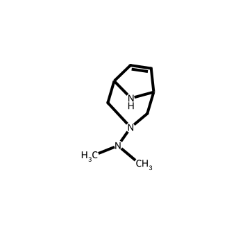 CN(C)N1CC2C=CC(C1)N2